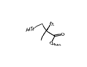 CCC(C)(C[TeH])C(=O)OC